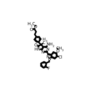 COC(=O)CCc1ccc(C2(C)C(=O)Nc3nc(-c4nn(Cc5ccccc5F)c5cc(Cl)c(OC)cc45)nc(N)c32)cc1